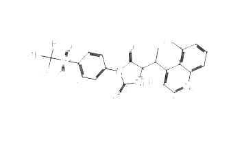 CC(c1ccnc2cccc(Cl)c12)C1NC(=O)N(c2ccc(S(=O)(=O)C(F)(F)F)cc2)C1=O